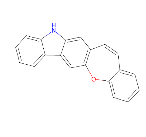 C1=Cc2cc3[nH]c4ccccc4c3cc2Oc2ccccc21